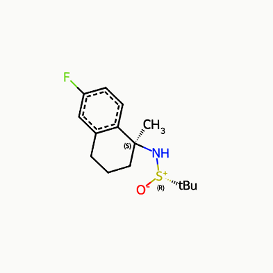 CC(C)(C)[S@+]([O-])N[C@@]1(C)CCCc2cc(F)ccc21